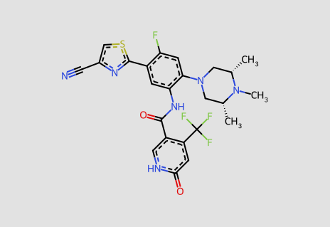 C[C@@H]1CN(c2cc(F)c(-c3nc(C#N)cs3)cc2NC(=O)c2c[nH]c(=O)cc2C(F)(F)F)C[C@H](C)N1C